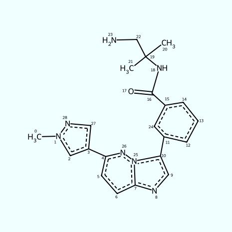 Cn1cc(-c2ccc3ncc(-c4cccc(C(=O)NC(C)(C)CN)c4)n3n2)cn1